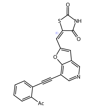 CC(=O)c1ccccc1C#Cc1cncc2cc(/C=C3/SC(=O)NC3=O)oc12